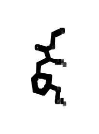 COc1cccc(C[C@H](N)C(=O)OC=O)c1